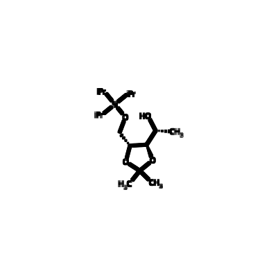 CC(C)[Si](OC[C@H]1OC(C)(C)O[C@@H]1[C@@H](C)O)(C(C)C)C(C)C